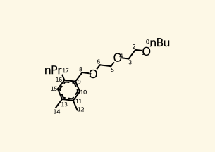 CCCCOCCOCCOCc1cc(C)c(C)cc1CCC